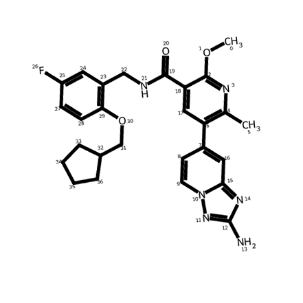 COc1nc(C)c(-c2ccn3nc(N)nc3c2)cc1C(=O)NCc1cc(F)ccc1OCC1CCCC1